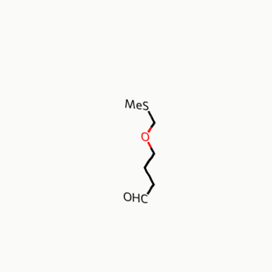 CSCOCCCC=O